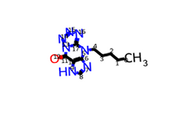 CCCCCn1c2nc[nH]c2c(=O)n2nnnc12